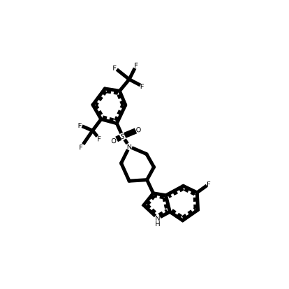 O=S(=O)(c1cc(C(F)(F)F)ccc1C(F)(F)F)N1CCC(c2c[nH]c3ccc(F)cc23)CC1